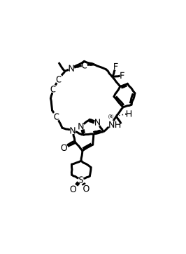 CC1CCCCCCn2c(=O)c(C3CCS(=O)(=O)CC3)cc3c(ncnc32)N[C@H](C)c2cccc(c2)C(F)(F)CC2CN1C2